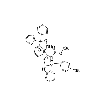 CC(C)(C)OC(=O)N[C@@H](Cc1nc2ccccc2n1Cc1ccc(C(C)(C)C)cc1)C(=O)NOC(c1ccccc1)(c1ccccc1)c1ccccc1